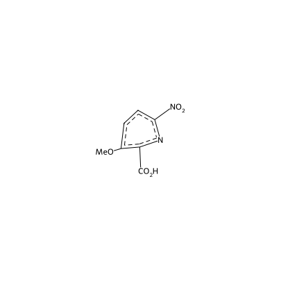 COc1ccc([N+](=O)[O-])nc1C(=O)O